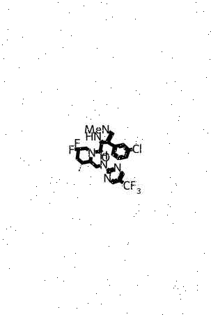 CN/C=C(\C(=N)C(=O)N1CC(F)(F)C[C@@H](C)C1CNc1ncc(C(F)(F)F)cn1)c1cccc(Cl)c1